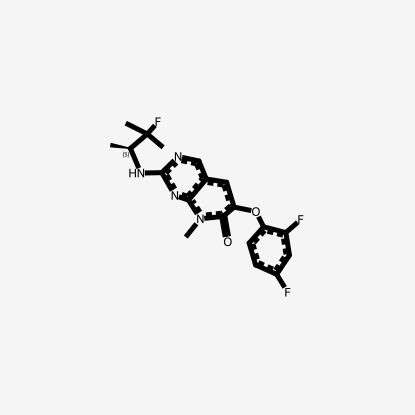 C[C@H](Nc1ncc2cc(Oc3ccc(F)cc3F)c(=O)n(C)c2n1)C(C)(C)F